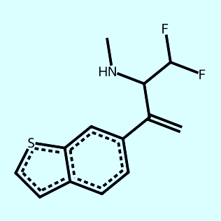 C=C(c1ccc2ccsc2c1)C(NC)C(F)F